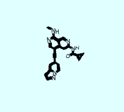 CNc1ncc(C#Cc2ccn3nccc3c2)c2cc(NC(=O)C3CC3)ncc12